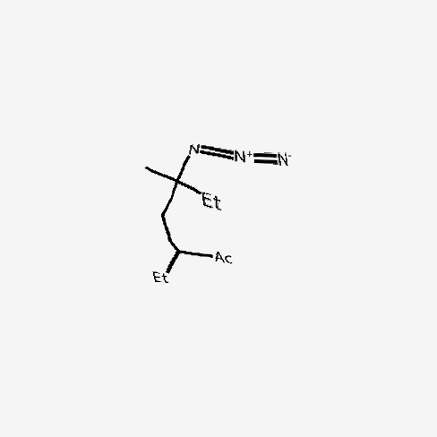 CCC(CC(C)(CC)N=[N+]=[N-])C(C)=O